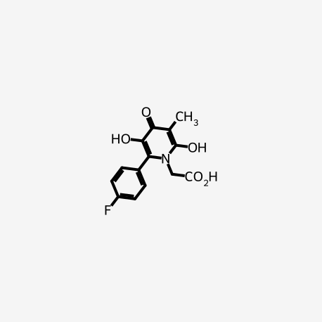 Cc1c(O)n(CC(=O)O)c(-c2ccc(F)cc2)c(O)c1=O